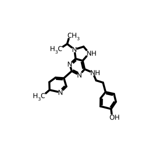 CC1CC=C(c2nc(NCCc3ccc(O)cc3)c3c(n2)N(C(C)C)CN3)C=N1